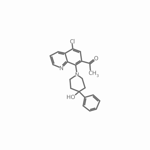 CC(=O)c1cc(Cl)c2cccnc2c1N1CCC(O)(c2ccccc2)CC1